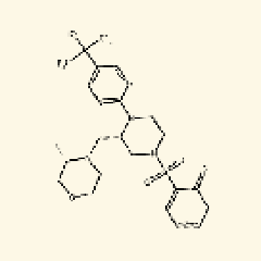 C[C@H]1COCCN1C[C@H]1CN(S(=O)(=O)C2=CC=CCC2=S)CCN1c1ncc(C(O)(C(F)(F)F)C(F)(F)F)cn1